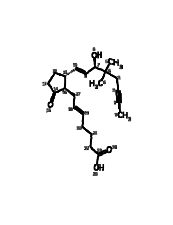 CC#CCC(C)(C)[C@H](O)C=C[C@H]1CCC(=O)[C@@H]1CC=CCCCC(=O)O